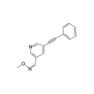 CO/N=C\c1cncc(C#Cc2ccccc2)c1